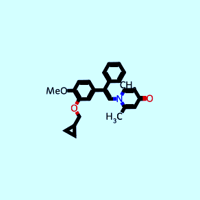 COc1ccc(/C(=C/n2c(C)cc(=O)cc2C)c2ccccc2)cc1OCC1CC1